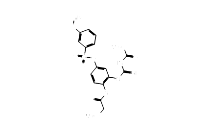 CCCCOc1cccc(S(=O)(=O)Oc2ccc(NC(=O)COC)c(NC(=N)NC(=O)OC)c2)c1